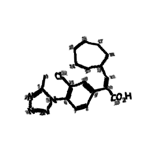 Cc1nnnn1-c1ccc(C(=CC2CCCCCC2)C(=O)O)cc1Cl